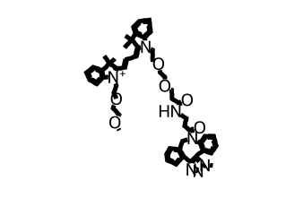 COCCOCC[N+]1=C(/C=C/C=C2/N(CCOCCOCCC(=O)NCCC(=O)N3Cc4ccccc4-c4nnn(C)c4-c4ccccc43)c3ccccc3C2(C)C)C(C)(C)c2ccccc21